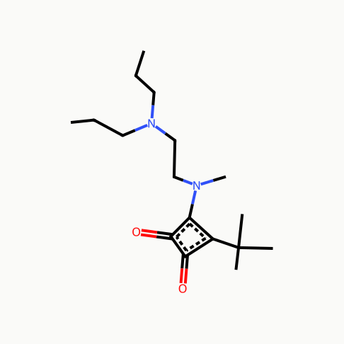 CCCN(CCC)CCN(C)c1c(C(C)(C)C)c(=O)c1=O